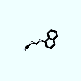 N#COCOc1cccc2ccccc12